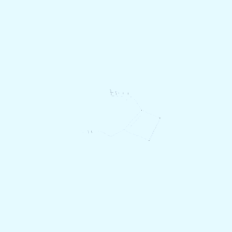 CCCCCCC1=C(C(=O)OCC)CC1